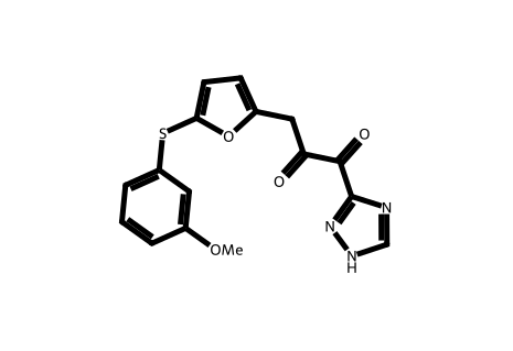 COc1cccc(Sc2ccc(CC(=O)C(=O)c3nc[nH]n3)o2)c1